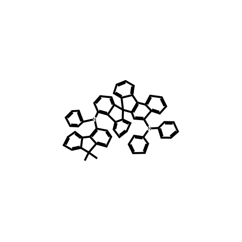 CC1(C)c2ccccc2-c2c(N(c3ccccc3)c3cccc4c3-c3ccccc3C43c4ccccc4-c4c3cc(N(c3ccccc3)c3ccccc3)c3ccccc43)cccc21